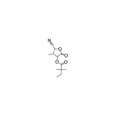 CCC(C)(C)C(=O)OC1C(=O)OC(C#N)C1C